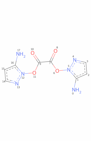 Nc1ccnn1OC(=O)C(=O)On1nccc1N